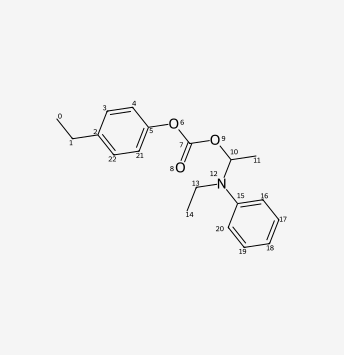 CCc1ccc(OC(=O)OC(C)N(CC)c2ccccc2)cc1